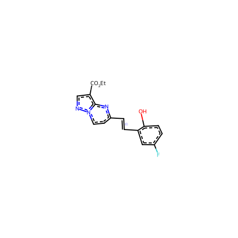 CCOC(=O)c1cnn2ccc(/C=C/c3cc(F)ccc3O)nc12